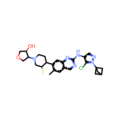 Cc1cc2cnc(Nc3cnn(C45CC(C4)C5)c3Cl)nc2cc1C1CCN(C2COC[C@H]2O)C[C@@H]1F